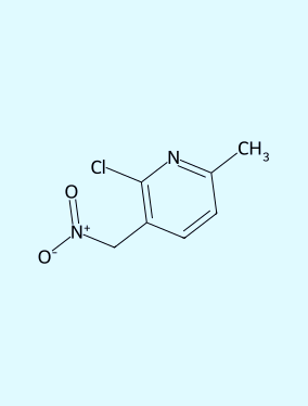 Cc1ccc(C[N+](=O)[O-])c(Cl)n1